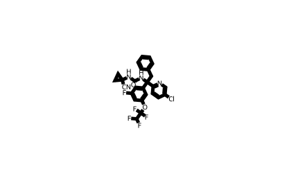 N#CC1(NC(=O)NC(Cc2ccccc2)(c2cc(F)cc(OC(F)(F)C(F)F)c2)c2ccc(Cl)cn2)CC1